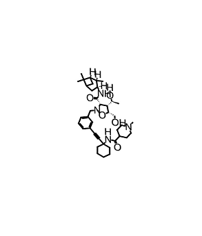 C[C@@H]1[C@@H](NC(=O)[C@@H]2[C@H]([C@H](C)O)[C@H](CO)ON2Cc2cccc(C#CC3(NC(=O)C4CCN(C)CC4)CCCCC3)c2)CC2C[C@@H]1C2(C)C